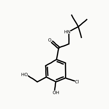 CC(C)(C)NCC(=O)c1cc(Cl)c(O)c(CO)c1